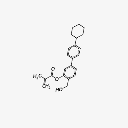 C=C(C)C(=O)Oc1cc(-c2ccc(C3CCCCC3)cc2)ccc1CO